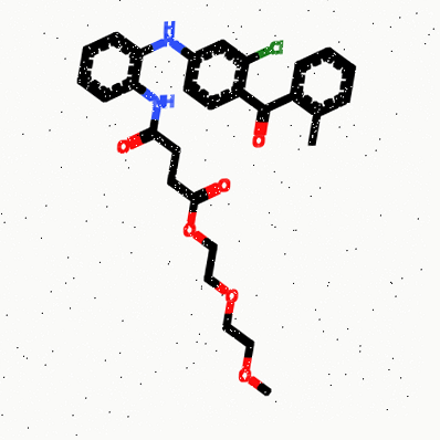 COCCOCCOC(=O)CCC(=O)Nc1ccccc1Nc1ccc(C(=O)c2ccccc2C)c(Cl)c1